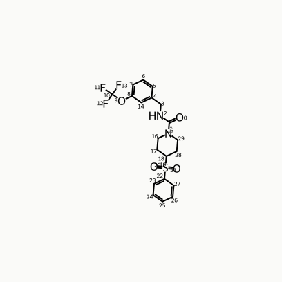 O=C(NCc1cccc(OC(F)(F)F)c1)N1CCC(S(=O)(=O)c2ccccc2)CC1